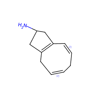 NC1CC2=C(C/C=C\C/C=C\2)C1